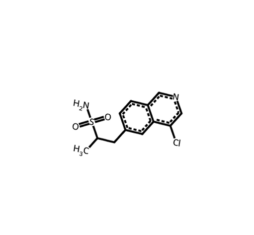 CC(Cc1ccc2cncc(Cl)c2c1)S(N)(=O)=O